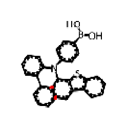 OB(O)c1ccc(N(c2ccccc2-c2ccccc2)c2cccc3c2sc2ccccc23)cc1